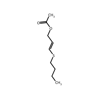 CCCCSC=CCOC(C)=O